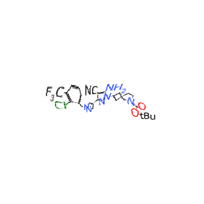 CC(C)(C)OC(=O)N1CC[C@]2(C1)C[C@H](n1nc(-c3cnn(Cc4cccc(C(F)(F)F)c4Cl)c3)c(C#N)c1N)C2